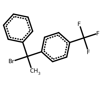 CC(Br)(c1ccccc1)c1ccc(C(F)(F)F)cc1